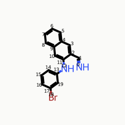 N=Cc1cc2ccccc2cc1Nc1cccc(Br)c1